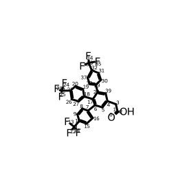 O=C(O)Cc1cc(-c2ccc(C(F)(F)F)cc2)c(-c2ccc(C(F)(F)F)cc2)c(-c2ccc(C(F)(F)F)cc2)c1